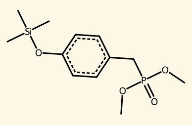 COP(=O)(Cc1ccc(O[Si](C)(C)C)cc1)OC